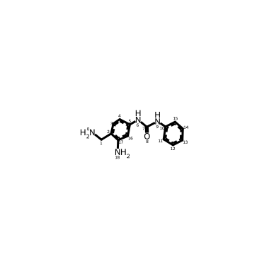 NCc1ccc(NC(=O)Nc2ccccc2)cc1N